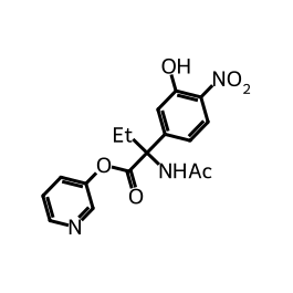 CCC(NC(C)=O)(C(=O)Oc1cccnc1)c1ccc([N+](=O)[O-])c(O)c1